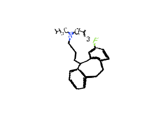 CN(C)CCCC1c2ccccc2CCc2ccc(F)cc21